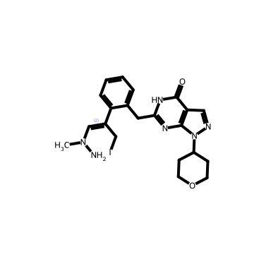 CN(N)/C=C(\CI)c1ccccc1Cc1nc2c(cnn2C2CCOCC2)c(=O)[nH]1